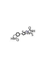 O=C1NC(=S)N/C1=C\c1ccc(-c2ccc3c(c2)C(=O)NCC3)s1